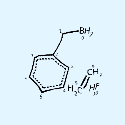 BCc1ccccc1.C=C.F